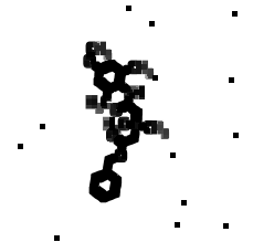 COc1cc(C)c(NC(=O)C[PH](C)(C)CC(=O)OCc2ccccc2)c(C)c1